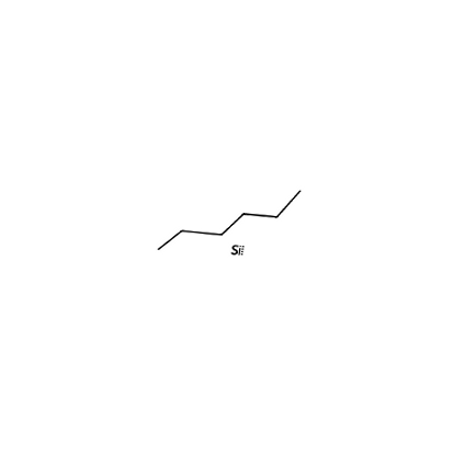 CCCCCC.[Si]